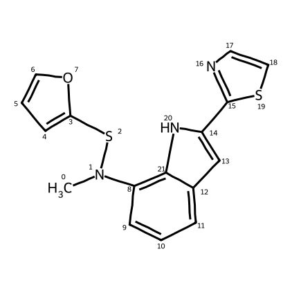 CN(Sc1ccco1)c1cccc2cc(-c3nccs3)[nH]c12